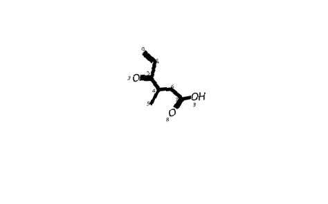 C=CC(=O)C(C)CC(=O)O